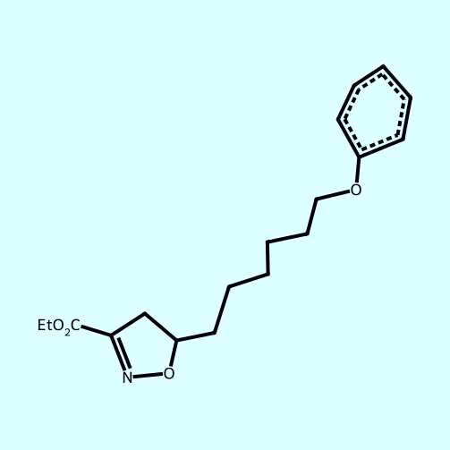 CCOC(=O)C1=NOC(CCCCCCOc2ccccc2)C1